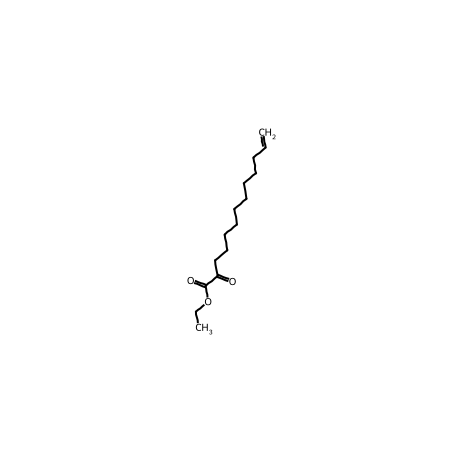 C=CCCCCCCCCCC(=O)C(=O)OCC